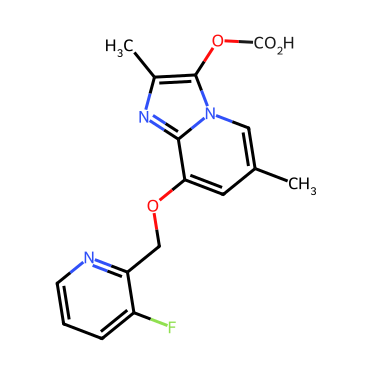 Cc1cc(OCc2ncccc2F)c2nc(C)c(OC(=O)O)n2c1